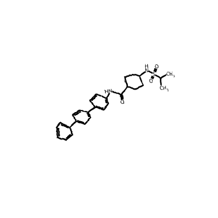 CC(C)S(=O)(=O)NC1CCC(C(=O)Nc2ccc(-c3ccc(-c4ccccc4)cc3)cc2)CC1